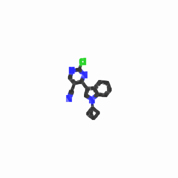 N#Cc1cnc(Cl)nc1-c1cn(C23CC(C2)C3)c2ccccc12